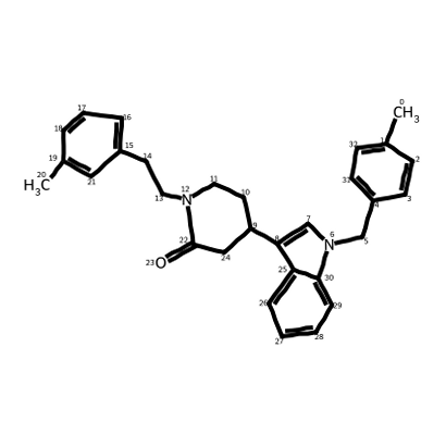 Cc1ccc(Cn2cc(C3CCN(CCc4cccc(C)c4)C(=O)C3)c3ccccc32)cc1